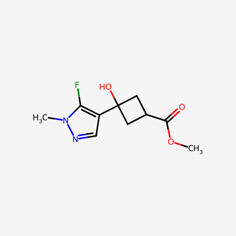 COC(=O)C1CC(O)(c2cnn(C)c2F)C1